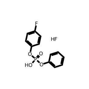 F.O=P(O)(Oc1ccccc1)Oc1ccc(F)cc1